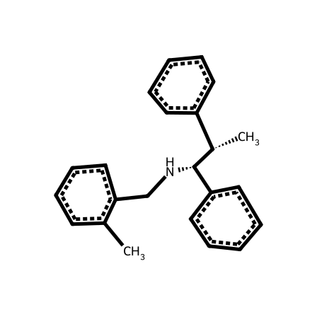 Cc1ccccc1CN[C@@H](c1ccccc1)[C@@H](C)c1ccccc1